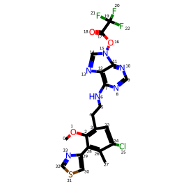 COc1c(CCNc2ncnc3c2ncn3OC(=O)C(F)(F)F)cc(Cl)c(C)c1-c1cscn1